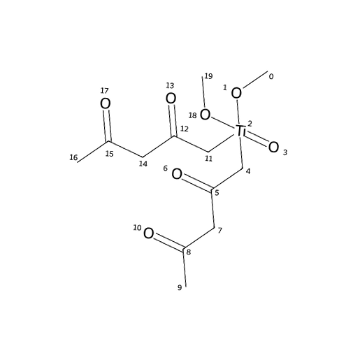 C[O][Ti](=[O])([CH2]C(=O)CC(C)=O)([CH2]C(=O)CC(C)=O)[O]C